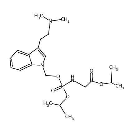 CC(C)OC(=O)CNP(=O)(OCn1cc(CCN(C)C)c2ccccc21)OC(C)C